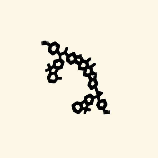 Cc1c2sc3cc(C(C)C(c4ccc(C(C)(C)C)cc4)c4ccc5c(c4)C(C)(C)C4=CC=CC(C)C45)ccc3c2cc2cc3c(sc4cc(C5CC5(c5ccc(C(C)(C)C)cc5)c5ccc6c(c5)C(C)(C)c5ccccc5-6)ccc43)c(C)c12